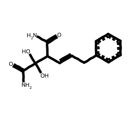 NC(=O)C(/C=C/Cc1ccccc1)C(O)(O)C(N)=O